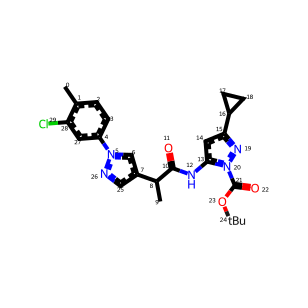 Cc1ccc(-n2cc(C(C)C(=O)Nc3cc(C4CC4)nn3C(=O)OC(C)(C)C)cn2)cc1Cl